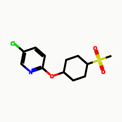 CS(=O)(=O)C1CCC(Oc2ccc(Cl)cn2)CC1